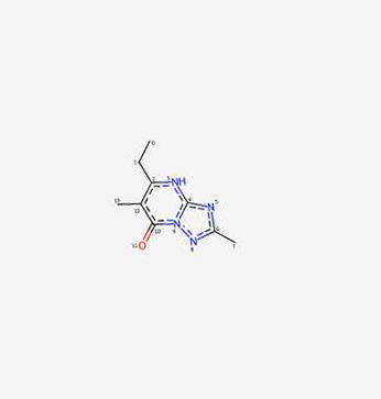 CCc1[nH]c2nc(C)nn2c(=O)c1C